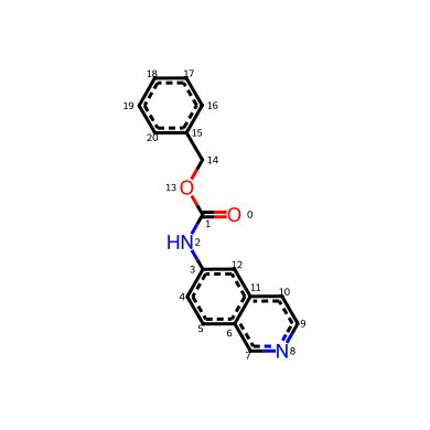 O=C(Nc1ccc2cnccc2c1)OCc1ccccc1